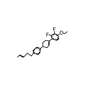 C/C=C/CCc1ccc(C2CC=C(c3ccc(OCC)c(F)c3F)CC2)cc1